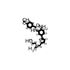 COc1ccc(C(=O)Nc2cc(-c3ccc(CN(C)CCO)s3)ccc2N)cc1